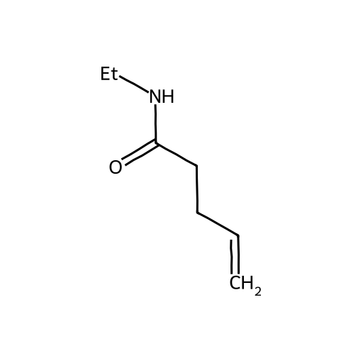 C=CCCC(=O)NCC